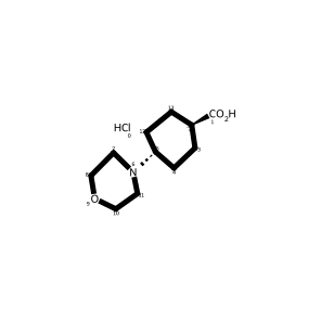 Cl.O=C(O)[C@H]1CC[C@H](N2CCOCC2)CC1